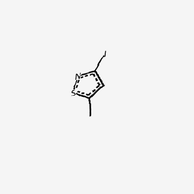 Cc1cc(I)ns1